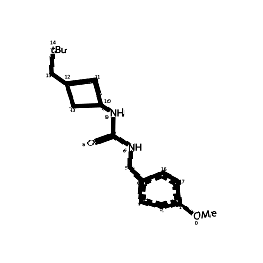 COc1ccc(CNC(=O)NC2CC(CC(C)(C)C)C2)cc1